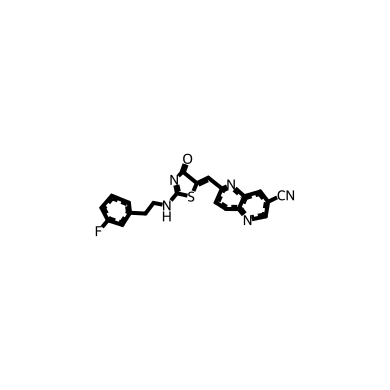 N#Cc1cnc2ccc(/C=C3\SC(NCCc4cccc(F)c4)=NC3=O)nc2c1